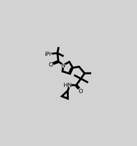 CC(C)C(C)(C)C(=O)N1CC=C(CC(C)C(C)(C)C(=O)NC2CC2)C1